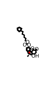 CN1CCC23c4c5ccc(OC(=O)OCCCCCCc6ccccc6)c4OC2C(=O)CCC3(O)C1C5